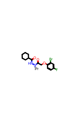 CC(C)N(NC(=O)C1CCCCC1)C(=O)COc1ccc(F)cc1Br